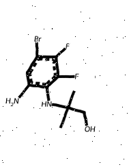 CC(C)(CO)Nc1c(N)cc(Br)c(F)c1F